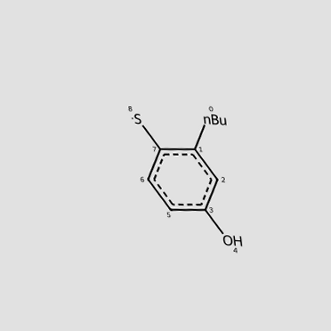 CCCCc1cc(O)ccc1[S]